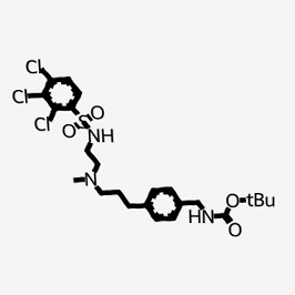 CN(CCCc1ccc(CNC(=O)OC(C)(C)C)cc1)CCNS(=O)(=O)c1ccc(Cl)c(Cl)c1Cl